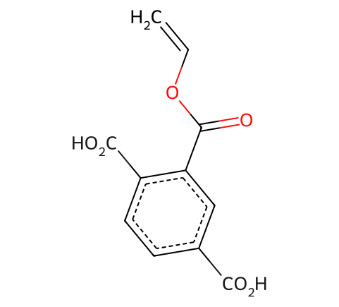 C=COC(=O)c1cc(C(=O)O)ccc1C(=O)O